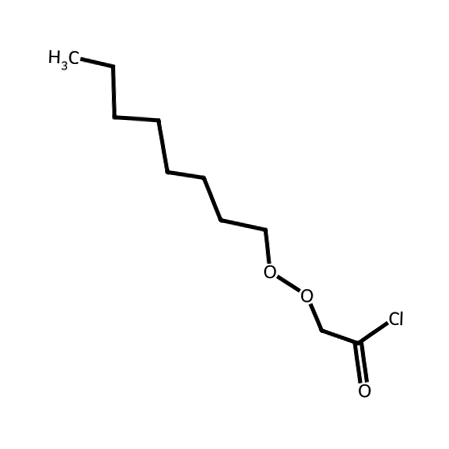 CCCCCCCCOOCC(=O)Cl